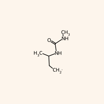 [CH2]CC(C)NC(=O)NC